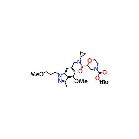 COCCCn1nc(C)c2c(OC)cc(CN(C(=O)[C@H]3CN(C(=O)OC(C)(C)C)CCO3)C3CC3)cc21